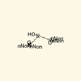 CCCCCCCCCN(CCCCCCCCC)C(=O)CCCCCCCCCN(CCCO)CCCCCCCC(=O)N(CCCCCCCCC)CCCCCCCCC